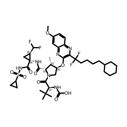 COc1ccc2nc(C(F)(F)CCCCC3CCCCC3)c(O[C@H]3CN(C(=O)[C@@H](NC(=O)O)C(C)(C)C)[C@H](C(=O)N[C@]4(C(=O)NS(=O)(=O)C5CC5)C[C@H]4C(F)F)[C@@H]3C)nc2c1